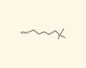 [CH2]CCCCCCCCC[Si](C)(C)C